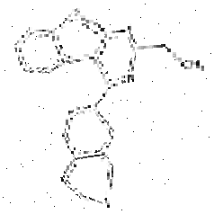 CCc1nc(-c2ccc3ccccc3c2)c2c(n1)oc1ccccc12